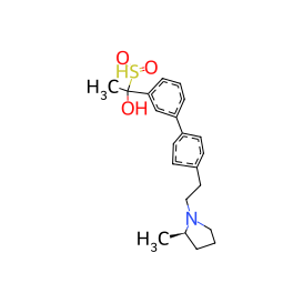 C[C@@H]1CCCN1CCc1ccc(-c2cccc(C(C)(O)[SH](=O)=O)c2)cc1